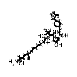 C=C/C(=C\C=C(/C)[C@H](N)O)OCCCCCOC[C@@H](O)N[C@H]([C@H](O)N1C[C@H](O)C[C@H]1C(O)NC[C@@H]1C=C[C@H]([C@@H]2SC=NC2C)CC1)C(C)(C)C